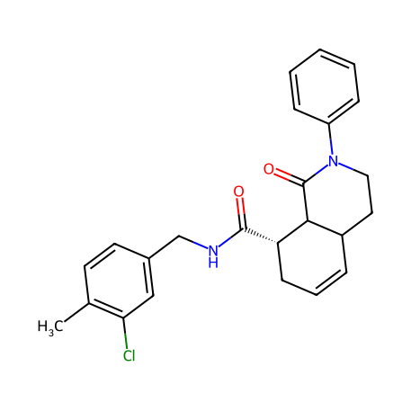 Cc1ccc(CNC(=O)[C@H]2CC=CC3CCN(c4ccccc4)C(=O)C32)cc1Cl